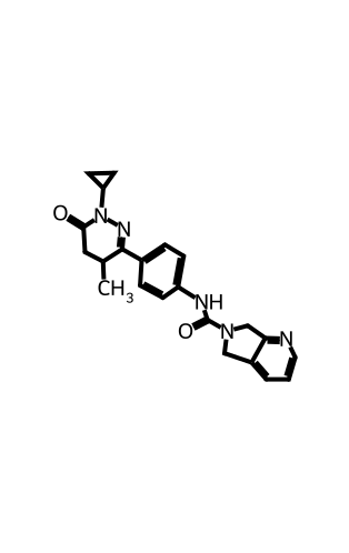 CC1CC(=O)N(C2CC2)N=C1c1ccc(NC(=O)N2Cc3cccnc3C2)cc1